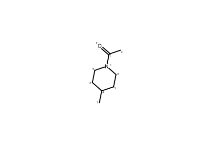 CC(=O)N1CCC(C)CC1